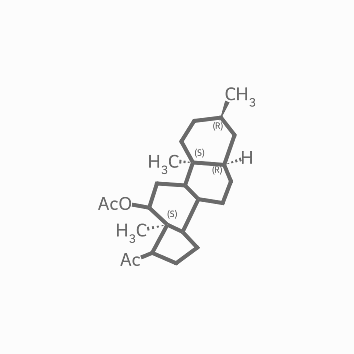 CC(=O)OC1CC2C(CC[C@@H]3C[C@H](C)CC[C@]23C)C2CCC(C(C)=O)[C@@]12C